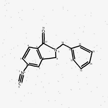 [C-]#[N+]c1ccc2c(c1)CN(Cc1ccccc1)C2=O